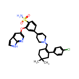 CC1(C)CCC(CN2CC=C(c3ccc(S(N)(=O)=O)c(Oc4cnc5[nH]ccc5c4)c3)CC2)=C(c2ccc(Cl)cc2)C1